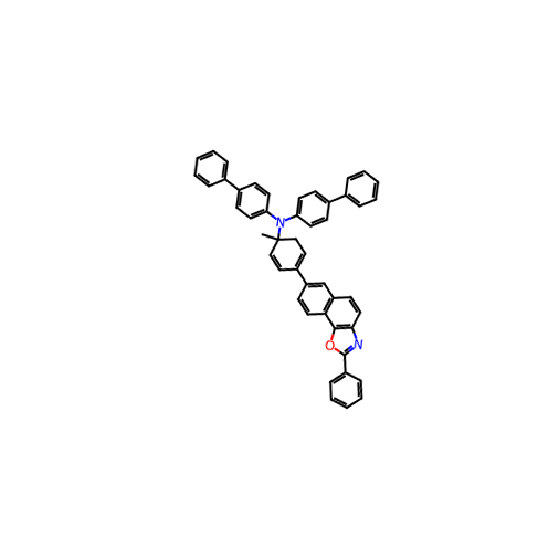 CC1(N(c2ccc(-c3ccccc3)cc2)c2ccc(-c3ccccc3)cc2)C=CC(c2ccc3c(ccc4nc(-c5ccccc5)oc43)c2)=CC1